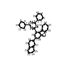 c1ccc(-c2nc(-c3ccccc3)nc(-c3cc(-c4ccc5ccccc5c4)cc4oc5ccccc5c34)n2)cc1